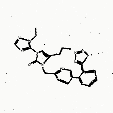 CCCc1cn(-c2ncnn2CC)c(=O)n1Cc1ccc(-c2ccccc2-c2nnn[nH]2)cn1